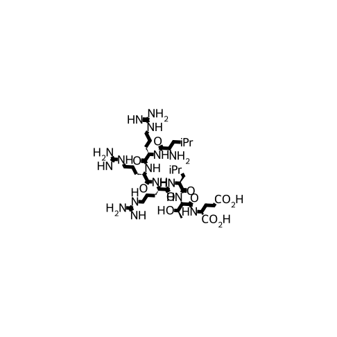 CC(C)C[C@H](NC(=O)[C@H](CCCNC(=N)N)NC(=O)[C@H](CCCNC(=N)N)NC(=O)[C@H](CCCNC(=N)N)NC(=O)[C@@H](N)CC(C)C)C(=O)N[C@H](C(=O)N[C@@H](CCC(=O)O)C(=O)O)[C@@H](C)O